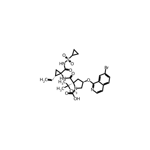 C=C[C@@H]1C[C@]1(NC(=O)[C@@]1(C(C)(C)C)C[C@@H](Oc2nccc3ccc(Br)cc23)CN1C(=O)O)C(=O)NS(=O)(=O)C1CC1